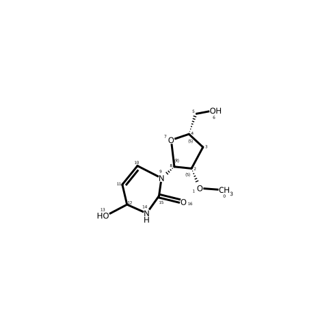 CO[C@H]1C[C@@H](CO)O[C@H]1N1C=CC(O)NC1=O